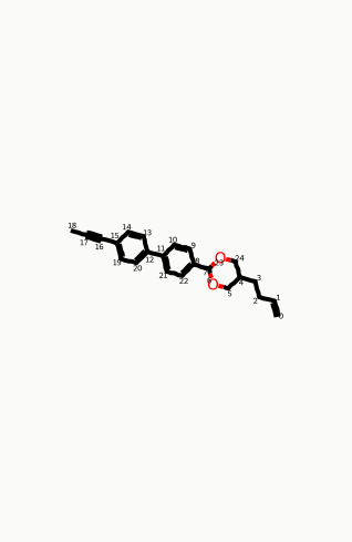 C=CCCC1COC(c2ccc(-c3ccc(C#CC)cc3)cc2)OC1